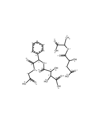 CC(OC(=O)C(O)CC(=O)O)C(=O)O.O=C(O)COC(=O)C(OC(=O)C(O)C(O)C(=O)O)c1ccccc1